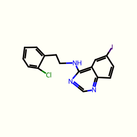 Clc1ccccc1CCNc1ncnc2ccc(I)cc12